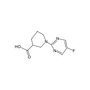 O=C(O)C1CCCN(c2ncc(F)cn2)C1